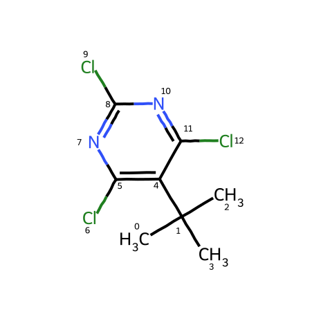 CC(C)(C)c1c(Cl)nc(Cl)nc1Cl